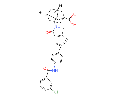 O=C(Nc1ccc(-c2ccc3c(c2)C(=O)N(C24C[C@@H]5C[C@@H](CC(C(=O)O)(C5)C2)C4)C3)cc1)c1cccc(Cl)c1